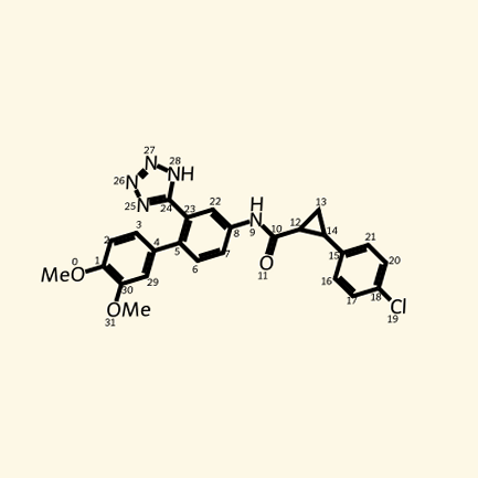 COc1ccc(-c2ccc(NC(=O)C3CC3c3ccc(Cl)cc3)cc2-c2nnn[nH]2)cc1OC